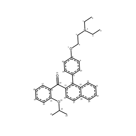 CCN(CC)CCOc1ccc(-c2c(C(=O)c3ccccc3OC(C)C)ccc3ccccc23)cc1